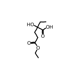 CCOC(=O)CCC(O)(CC)C(=O)O